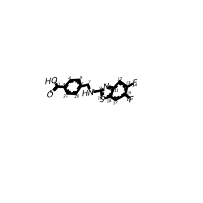 O=C(O)c1ccc(CNc2nc3cc(F)c(F)cc3s2)cc1